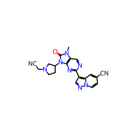 Cn1c(=O)n(C2CCN(CC#N)C2)c2nc(-c3cnn4ccc(C#N)cc34)ncc21